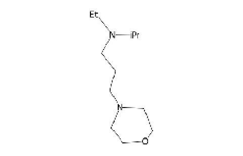 CCN(CCCN1CCOCC1)C(C)C